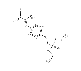 CCOP(=O)(COc1ccc(/C=C(\C)[N+](=O)[O-])cc1)OCC